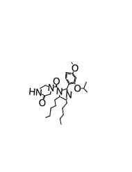 CCCCCC1N=C(c2ccc(OC)cc2OC(C)C)N(C(=O)N2CCNC(=O)C2)C1CCCCC